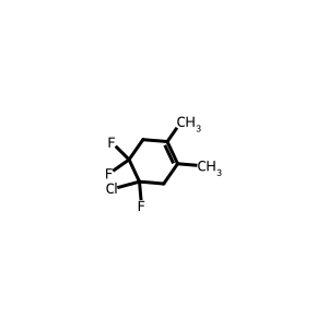 CC1=C(C)CC(F)(Cl)C(F)(F)C1